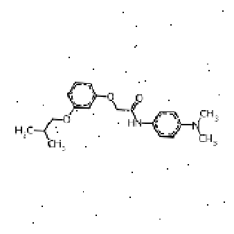 CC(C)COc1cccc(OCC(=O)Nc2ccc(N(C)C)cc2)c1